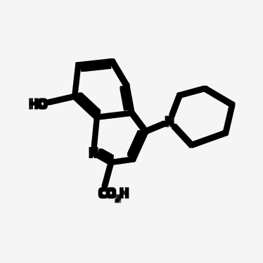 O=C(O)c1cc(N2CCCCC2)c2cccc(O)c2n1